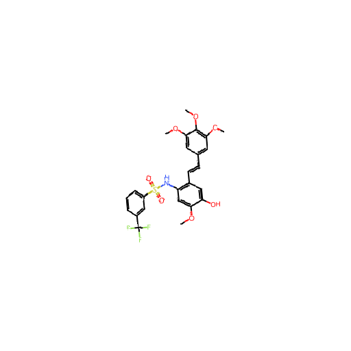 COc1cc(NS(=O)(=O)c2cccc(C(F)(F)F)c2)c(C=Cc2cc(OC)c(OC)c(OC)c2)cc1O